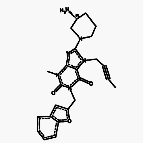 CC#CCn1c(N2CCC[C@@H](N)C2)nc2c1c(=O)n(Cc1cc3ccccc3o1)c(=O)n2C